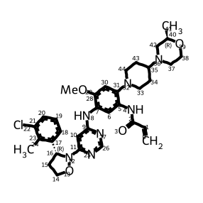 C=CC(=O)Nc1cc(Nc2cc(N3OCC[C@@H]3c3cccc(Cl)c3C)ncn2)c(OC)cc1N1CCC(N2CCO[C@H](C)C2)CC1